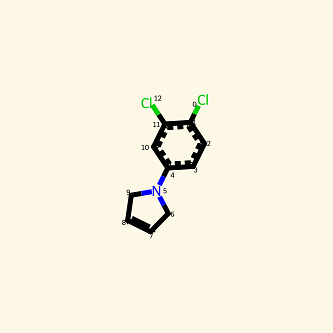 Clc1ccc(N2C[C]=[C]C2)cc1Cl